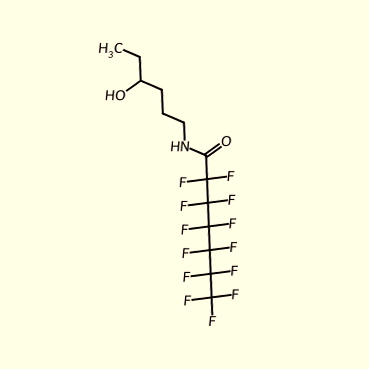 CCC(O)CCCNC(=O)C(F)(F)C(F)(F)C(F)(F)C(F)(F)C(F)(F)C(F)(F)F